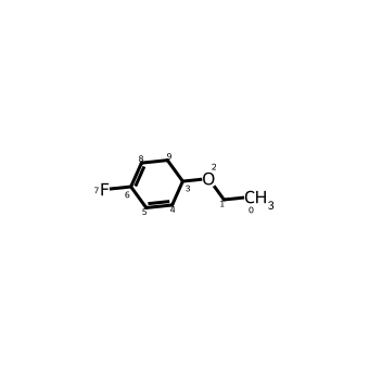 CCOC1C=CC(F)=CC1